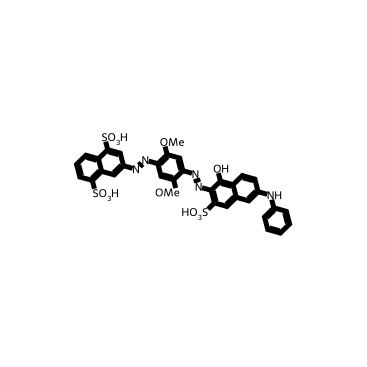 COc1cc(N=Nc2c(S(=O)(=O)O)cc3cc(Nc4ccccc4)ccc3c2O)c(OC)cc1N=Nc1cc(S(=O)(=O)O)c2cccc(S(=O)(=O)O)c2c1